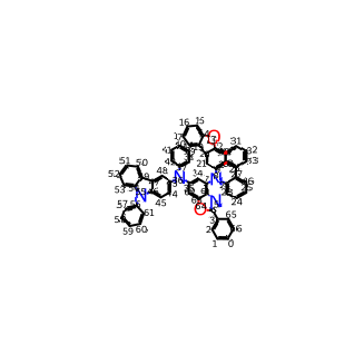 c1ccc(-c2nc3c(N(c4ccc5oc6ccccc6c5c4)c4ccccc4-c4ccccc4)cc(N(c4ccccc4)c4ccc5c(c4)c4ccccc4n5-c4ccccc4)cc3o2)cc1